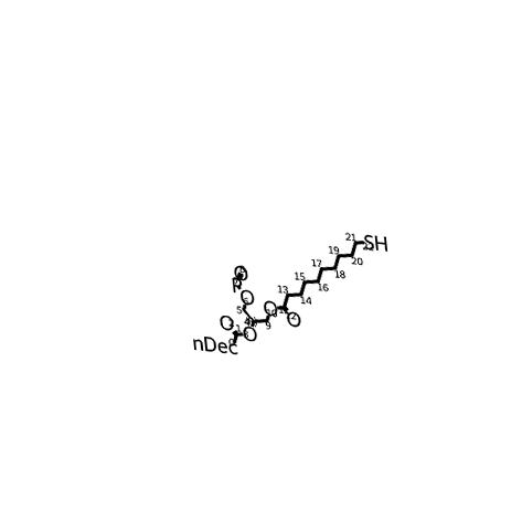 CCCCCCCCCCC(=O)O[C@@H](COP=O)COC(=O)CCCCCCCCCS